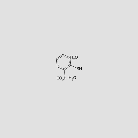 O.O.O=C(O)c1ccccc1S